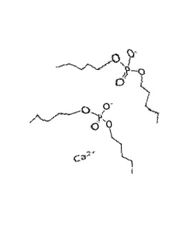 CCCCCOP(=O)([O-])OCCCCC.CCCCCOP(=O)([O-])OCCCCC.[Ca+2]